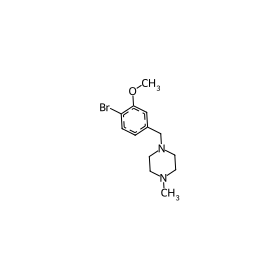 COc1cc(CN2CCN(C)CC2)ccc1Br